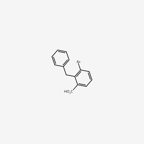 CC(=O)c1cccc(C(=O)O)c1Cc1ccccc1